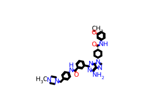 COc1cccc(NC(=O)[C@H]2CC[C@@H](n3cnc4c(N)nc(-c5cccc(C(=O)Nc6ccc(CN7CCN(C)CC7)cc6)c5)nc43)CC2)c1